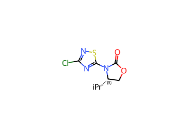 CC(C)[C@H]1COC(=O)N1c1nc(Cl)ns1